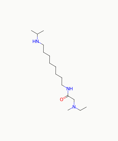 CCN(C)CC(=O)NCCCCCCCCNC(C)C